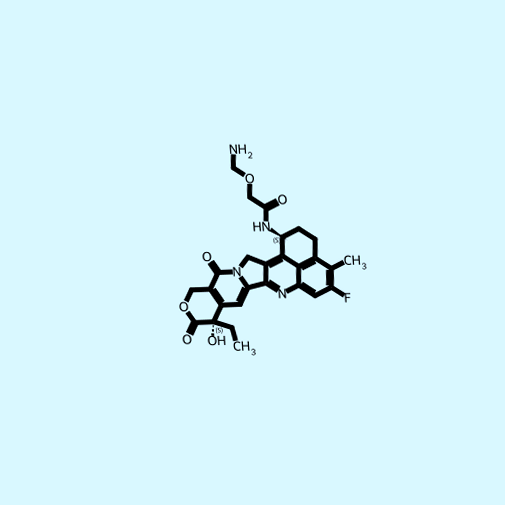 CC[C@@]1(O)C(=O)OCc2c1cc1n(c2=O)Cc2c-1nc1cc(F)c(C)c3c1c2[C@@H](NC(=O)COCN)CC3